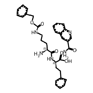 NC(=O)c1cnc2ccccc2c1.N[C@@H](CCCNC(=O)OCc1ccccc1)C(=O)N[C@H](CCc1ccccc1)C(=O)O